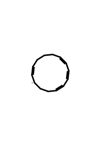 [CH]1C=CCCCC=CC=CC=CCC1